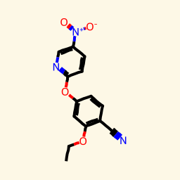 CCOc1cc(Oc2ccc([N+](=O)[O-])cn2)ccc1C#N